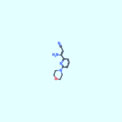 N#C/C=C(\N)c1cccc(N2CCOCC2)n1